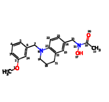 COc1cccc(CN2CCCc3cc(CN(O)C(C)=O)ccc32)c1